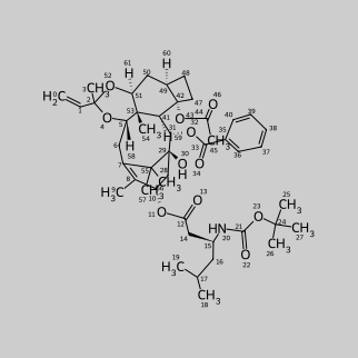 C=CC1(C)O[C@H]2CC3=C(C)[C@@H](OC(=O)C[C@H](CC(C)C)NC(=O)OC(C)(C)C)C[C@@](O)([C@@H](OC(=O)c4ccccc4)[C@@H]4[C@]5(OC(C)=O)CC[C@@H]5C[C@H](O1)[C@@]24C)C3(C)C